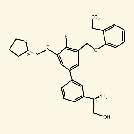 N[C@@H](CO)c1cccc(-c2cc(COc3ccccc3CC(=O)O)c(F)c(NC[C@@H]3CCCO3)c2)c1